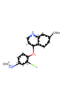 COc1ccc2c(Oc3ccc(NC=O)cc3F)ccnc2c1